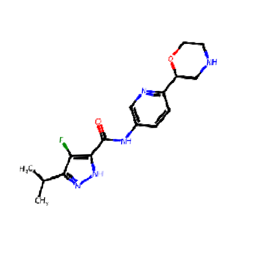 CC(C)c1n[nH]c(C(=O)Nc2ccc(C3CNCCO3)nc2)c1F